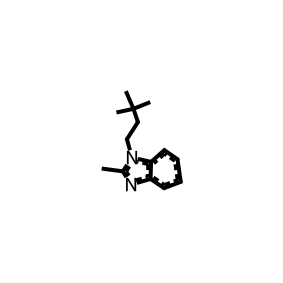 Cc1nc2ccccc2n1CCC(C)(C)C